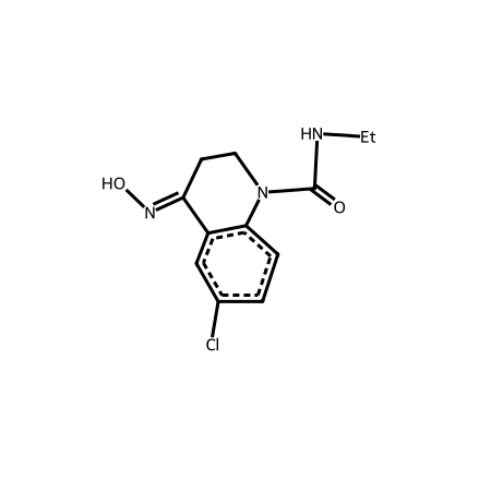 CCNC(=O)N1CCC(=NO)c2cc(Cl)ccc21